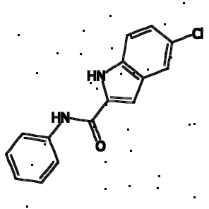 O=C(Nc1ccccc1)c1cc2cc(Cl)ccc2[nH]1